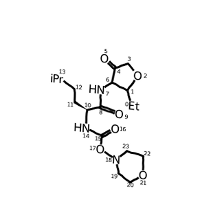 CCC1OCC(=O)C1NC(=O)[C@H](CCC(C)C)NC(=O)ON1CCOCC1